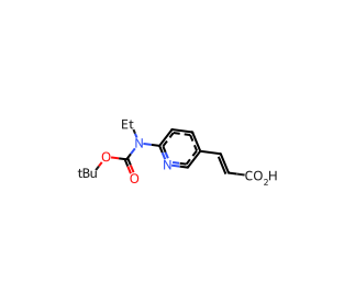 CCN(C(=O)OC(C)(C)C)c1ccc(/C=C/C(=O)O)cn1